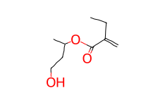 C=C(CC)C(=O)OC(C)CCO